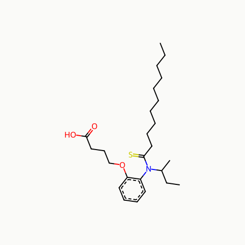 CCCCCCCCCCC(=S)N(c1ccccc1OCCCC(=O)O)C(C)CC